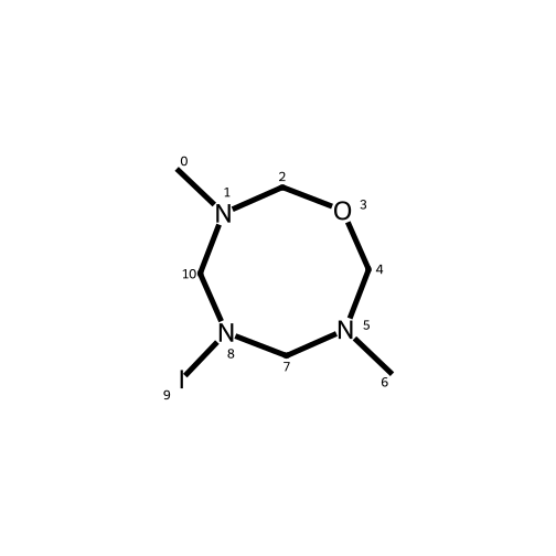 CN1COCN(C)CN(I)C1